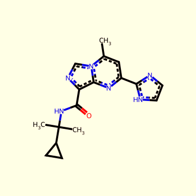 Cc1cc(-c2ncc[nH]2)nc2c(C(=O)NC(C)(C)C3CC3)ncn12